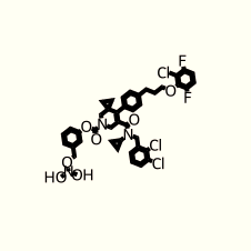 O=C(Oc1cccc(CON(O)O)c1)N1CC(C(=O)N(Cc2cccc(Cl)c2Cl)C2CC2)=C(c2ccc(CCCOc3c(F)ccc(F)c3Cl)cc2)C2(CC2)C1